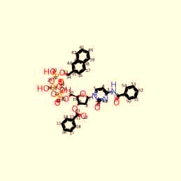 O=C(Nc1ccn([C@H]2CC(OC(=O)c3ccccc3)[C@@H](COP(=O)(O)OP(=O)(O)OP(=O)(O)OCc3ccc4ccccc4c3)O2)c(=O)n1)c1ccccc1